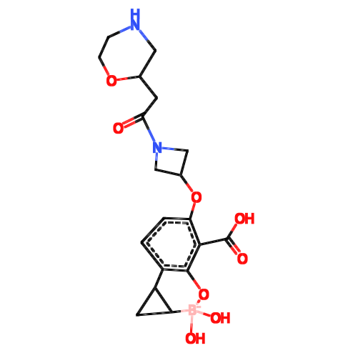 O=C(O)c1c(OC2CN(C(=O)CC3CNCCO3)C2)ccc2c1O[B-](O)(O)C1CC21